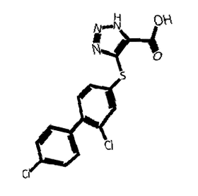 O=C(O)c1[nH]nnc1Sc1ccc(-c2ccc(Cl)cc2)c(Cl)c1